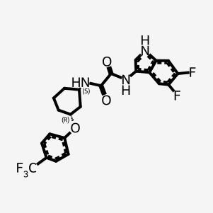 O=C(Nc1c[nH]c2cc(F)c(F)cc12)C(=O)N[C@H]1CCC[C@@H](Oc2ccc(C(F)(F)F)cc2)C1